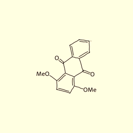 COc1ccc(OC)c2c1C(=O)c1c[c]ccc1C2=O